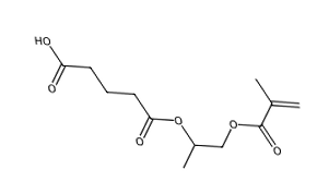 C=C(C)C(=O)OCC(C)OC(=O)CCCC(=O)O